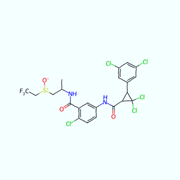 CC(C[S+]([O-])CC(F)(F)F)NC(=O)c1cc(NC(=O)C2C(c3cc(Cl)cc(Cl)c3)C2(Cl)Cl)ccc1Cl